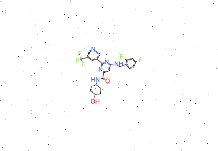 O=C(NC1CCC(O)CC1)c1cc(NCc2ccc(F)cc2F)nc(-c2cncc(C(F)(F)F)c2)n1